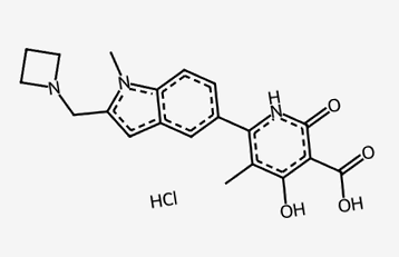 Cc1c(-c2ccc3c(c2)cc(CN2CCC2)n3C)[nH]c(=O)c(C(=O)O)c1O.Cl